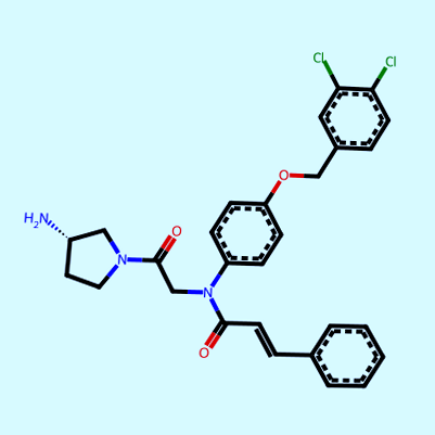 N[C@H]1CCN(C(=O)CN(C(=O)/C=C/c2ccccc2)c2ccc(OCc3ccc(Cl)c(Cl)c3)cc2)C1